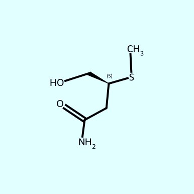 CS[C@H](CO)CC(N)=O